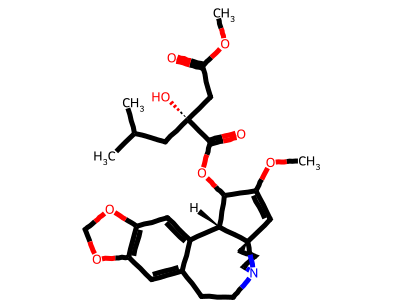 COC(=O)C[C@](O)(CC(C)C)C(=O)OC1C(OC)=C[C@]23CCCN2CCc2cc4c(cc2[C@H]13)OCO4